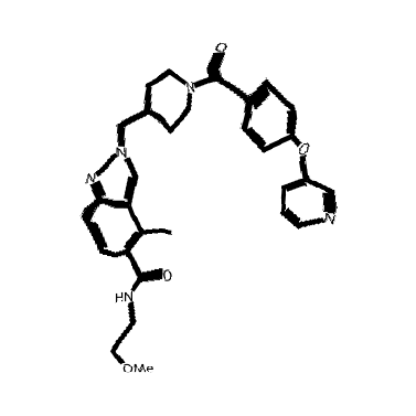 COCCNC(=O)c1ccc2nn(CC3CCN(C(=O)c4ccc(Oc5cccnc5)cc4)CC3)cc2c1C